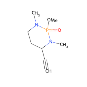 C#CC1CCN(C)P(=O)(OC)N1C